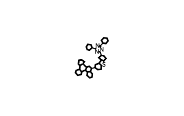 c1ccc(-c2nc(-c3ccccc3)nc(-c3ccc4sc5ccc(-c6cc7c8ccccc8c8ccccc8c7c7ccccc67)cc5c4c3)n2)cc1